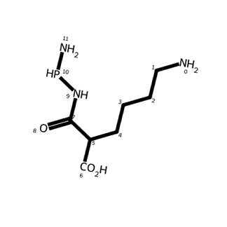 NCCCCC(C(=O)O)C(=O)NPN